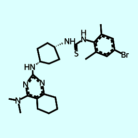 Cc1cc(Br)cc(C)c1NC(=S)N[C@H]1CC[C@@H](Nc2nc3c(c(N(C)C)n2)CCCC3)CC1